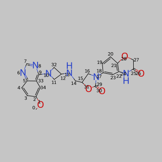 COc1ccc2ncnc(N3CC(NCC4CN(c5ccc6c(c5)NC(=O)CO6)C(=O)O4)C3)c2c1